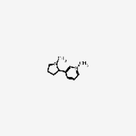 CN1CCCC1c1ccc[n+](C)c1